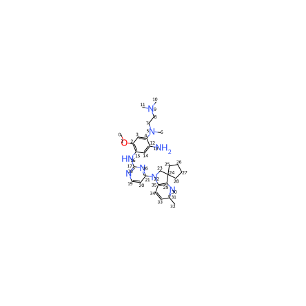 COc1cc(N(C)CCN(C)C)c(N)cc1Nc1nccc(N2CC3(CCCC3)c3nc(C)ccc32)n1